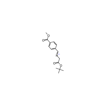 COC(=O)c1ccc(/C=N/CC(=O)OC(C)(C)C)cc1